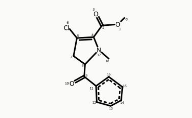 COC(=O)C1=C(Cl)CC(C(=O)c2ccccc2)N1C